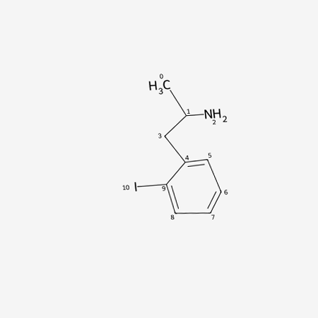 CC(N)Cc1ccccc1I